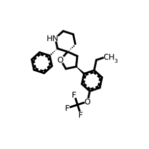 CCc1ccc(OC(F)(F)F)cc1[C@H]1CO[C@]2(CCCN[C@H]2c2ccccc2)C1